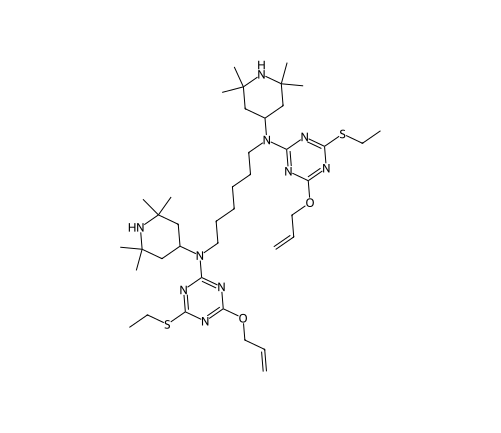 C=CCOc1nc(SCC)nc(N(CCCCCCN(c2nc(OCC=C)nc(SCC)n2)C2CC(C)(C)NC(C)(C)C2)C2CC(C)(C)NC(C)(C)C2)n1